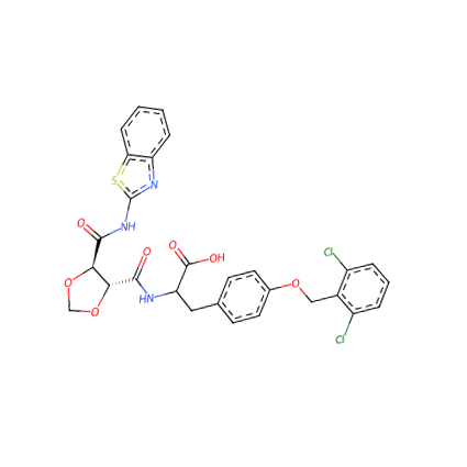 O=C(O)C(Cc1ccc(OCc2c(Cl)cccc2Cl)cc1)NC(=O)[C@@H]1OCO[C@H]1C(=O)Nc1nc2ccccc2s1